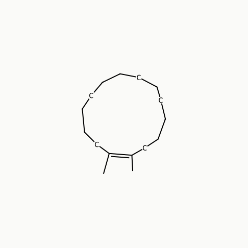 CC1=C(C)CCCCCCCCCCCC1